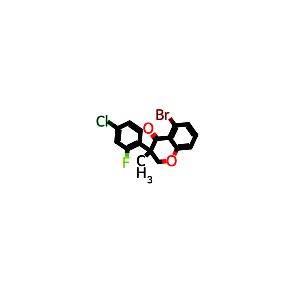 CC1(c2ccc(Cl)cc2F)COc2cccc(Br)c2C1=O